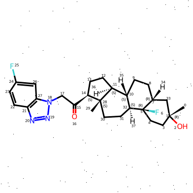 C[C@@]1(O)CC[C@@]2(F)[C@H](CC[C@H]3[C@@H]4CC[C@H](C(=O)Cn5nnc6ccc(F)cc65)[C@@]4(C)CC[C@@H]32)C1